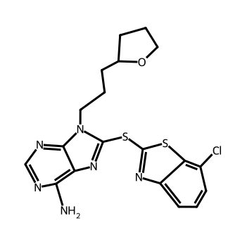 Nc1ncnc2c1nc(Sc1nc3cccc(Cl)c3s1)n2CCCC1CCCO1